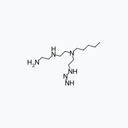 CCCCCN(CCNCCN)CCNN=N